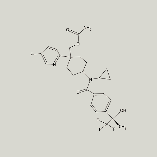 C[C@](O)(c1ccc(C(=O)N(C2CC2)C2CCC(COC(N)=O)(c3ccc(F)cn3)CC2)cc1)C(F)(F)F